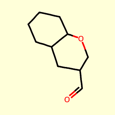 O=CC1COC2CCCCC2C1